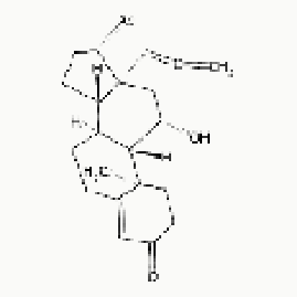 C=C=C[C@]12C[C@H](O)[C@H]3[C@@H](CCC4=CC(=O)CC[C@@]43C)[C@@H]1CC[C@@H]2C(C)=O